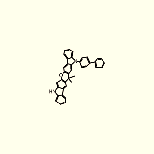 CC1(C)c2cc3c(cc2Oc2cc4c5ccccc5n(-c5ccc(-c6ccccc6)cc5)c4cc21)[nH]c1ccccc13